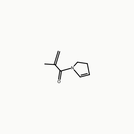 C=C(C)C(=O)N1C=CCC1